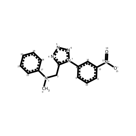 CN(Cc1nnnn1-c1cccc([N+](=O)[O-])c1)c1ccccc1